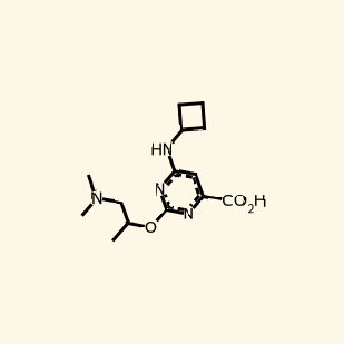 CC(CN(C)C)Oc1nc(NC2CCC2)cc(C(=O)O)n1